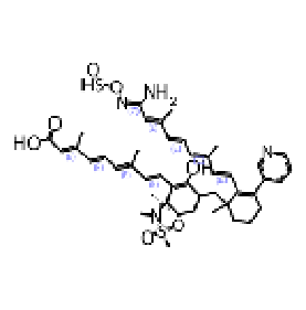 CC(/C=C/C1=C(c2cccnc2)CCCC1(C)CC1CC[C@@](C)(N(C)S(C)(=O)=O)C(/C=C/C(C)=C/C=C/C(C)=C/C(=O)O)=C1O)=C\C=C\C(C)=C\C(N)=N\O[SH]=O